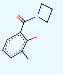 Cc1cccc(C(=O)N2CCC2)c1O